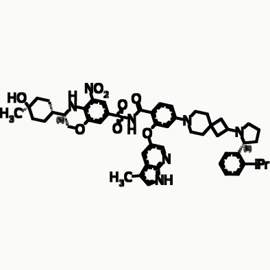 Cc1c[nH]c2ncc(Oc3cc(N4CCC5(CC4)CC(N4CCC[C@@H]4c4ccccc4C(C)C)C5)ccc3C(=O)NS(=O)(=O)c3cc4c(c([N+](=O)[O-])c3)N[C@@H]([C@H]3CC[C@](C)(O)CC3)CO4)cc12